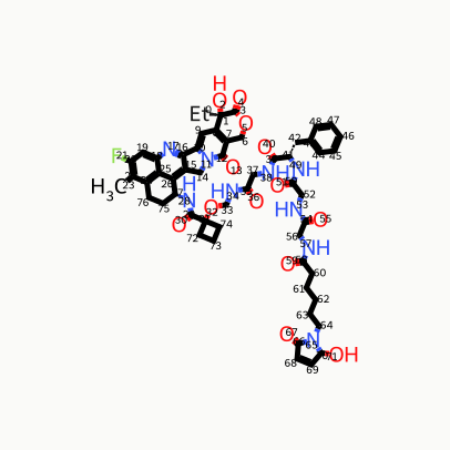 CC[C@@]1(O)C(=O)OCc2c1cc1n(c2=O)Cc2c-1nc1cc(F)c(C)c3c1c2[C@@H](NC(=O)C1(OCNC(=O)CNC(=O)[C@H](Cc2ccccc2)NC(=O)CNC(=O)CNC(=O)CCCCCN2C(=O)C=CC2O)CCC1)CC3